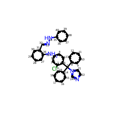 Clc1ccccc1C(c1ccccc1)(c1ccccc1)n1ccnc1.Nc1ccccc1C=NNc1ccccc1